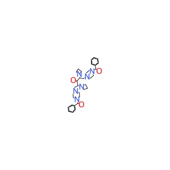 O=C(C(CN1CCN(C(=O)c2ccccc2)CC1)N1CCC1)C(CN1CCN(C(=O)c2ccccc2)CC1)N1CCC1